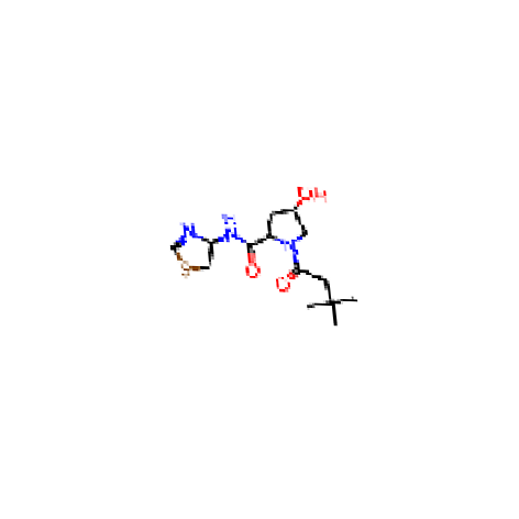 CC(C)(C)CC(=O)N1C[C@H](O)CC1C(=O)NC1CSC=N1